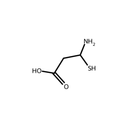 NC(S)CC(=O)O